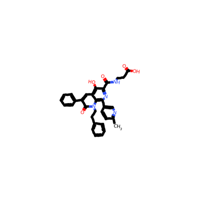 Cc1ccc(-c2nc(C(=O)NCCC(=O)O)c(O)c3cc(-c4ccccc4)c(=O)n(CCc4ccccc4)c23)cn1